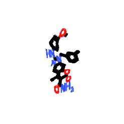 COc1ccc(Nc2nc3cc4c(C)c(C(N)=O)c(=O)oc4cc3n2Cc2cccc(C)c2)cc1